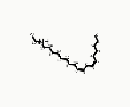 CCCCC/C=C\C/C=C\CCCCCCCCNCC